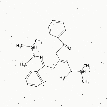 CN(N=C(CC(=O)c1ccccc1)CC(=NN(C)[SiH](C)C)c1ccccc1)[SiH](C)C